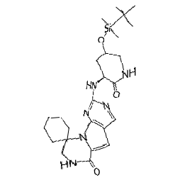 CC(C)(C)[Si](C)(C)OC1CNC(=O)[C@@H](Nc2ncc3cc4n(c3n2)C2(CCCCC2)CNC4=O)C1